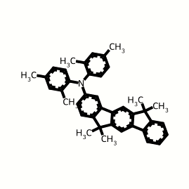 Cc1ccc(N(c2ccc3c(c2)-c2cc4c(cc2C3(C)C)-c2ccccc2C4(C)C)c2ccc(C)cc2C)c(C)c1